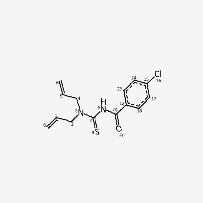 C=CCN(CC=C)C(=S)NC(=O)c1ccc(Cl)cc1